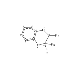 FC1Oc2c[c]ccc2OC1(F)F